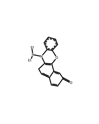 CCN(CC)N1C2=C(Oc3ccccc31)C1=CC(=O)C=CC1=CC2